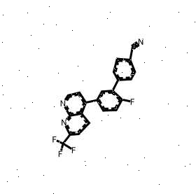 N#Cc1ccc(-c2cc(-c3ccnc4nc(C(F)(F)F)ccc34)ccc2F)cc1